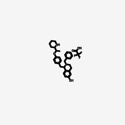 CC(Oc1ccc(CC2c3ccc(O)cc3CCN2Cc2ccccc2)cc1)C1CCCCN1.O=C(O)C(F)(F)F